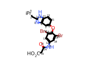 CC(C)Cc1nc2cc(Oc3c(Br)cc(NC(=O)CC(=O)O)cc3Br)ccc2[nH]1